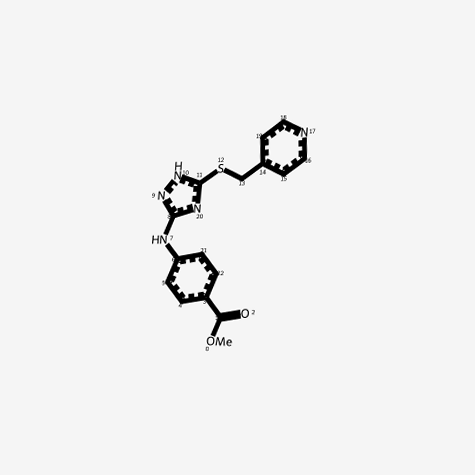 COC(=O)c1ccc(Nc2n[nH]c(SCc3ccncc3)n2)cc1